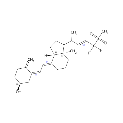 C=C1CC[C@H](O)C/C1=C/C=C1\CCC[C@]2(C)C(C(C)/C=C/C(F)(F)S(C)(=O)=O)CC[C@@H]12